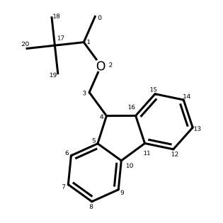 CC(OCC1c2ccccc2-c2ccccc21)C(C)(C)C